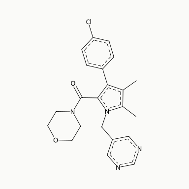 Cc1c(-c2ccc(Cl)cc2)c(C(=O)N2CCOCC2)n(Cc2cncnc2)c1C